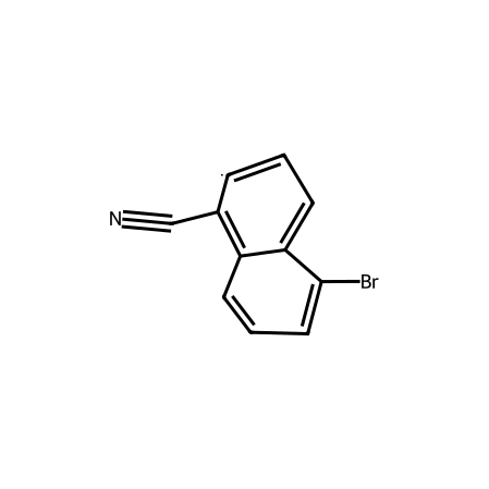 N#Cc1[c]ccc2c(Br)cccc12